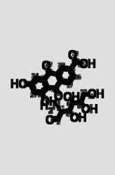 N[C@@H](C=O)[C@@H](O)[C@H](O)[C@H](O)CO.O=C(O)c1ccc2c(c1)C(=O)c1cc(O)cc(O)c1C2=O